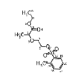 CCOC(=O)C(C)OCCOS(=O)(=O)c1ccccc1C